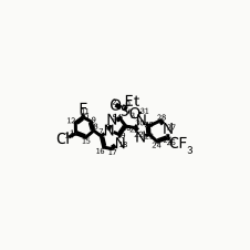 CCS(=O)(=O)c1nn2c(-c3cc(F)cc(Cl)c3)ccnc2c1-c1nc2cc(C(F)(F)F)ncc2n1C